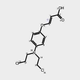 O=C(O)/C=C/Oc1ccc(N(CCCl)CCCl)cc1